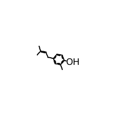 CC(C)=CCc1ccc(O)c(C)c1